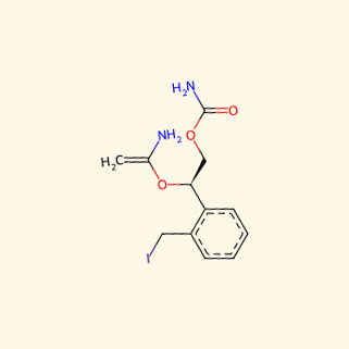 C=C(N)O[C@@H](COC(N)=O)c1ccccc1CI